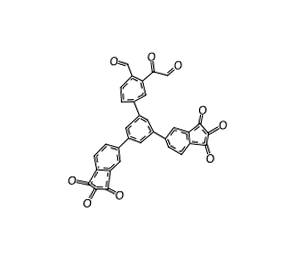 O=CC(=O)c1cc(-c2cc(-c3ccc4c(=O)c(=O)c(=O)c4c3)cc(-c3ccc4c(=O)c(=O)c(=O)c4c3)c2)ccc1C=O